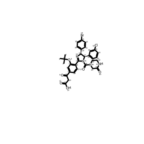 CC(C)(C)Oc1cc(C(=O)CC(=O)O)ccc1C1=N[C@@H](c2ccc(Br)cc2)[C@@H](c2cccc(Cl)c2)N1C(=O)N1CCNC(=O)C1